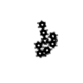 c1ccc(-c2ccc(-c3nc(-c4cccc(-c5cccc6sc7ccccc7c56)c4)nc(-c4cccc5oc6ccccc6c45)n3)cc2)cc1